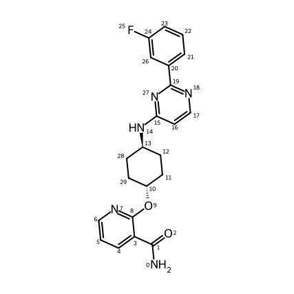 NC(=O)c1cccnc1O[C@H]1CC[C@H](Nc2ccnc(-c3cccc(F)c3)n2)CC1